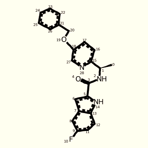 C[C@@H](NC(=O)c1cc2cc(F)ccc2[nH]1)c1ccc(OCc2ccccc2)cn1